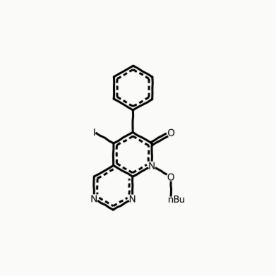 CCCCOn1c(=O)c(-c2ccccc2)c(I)c2cncnc21